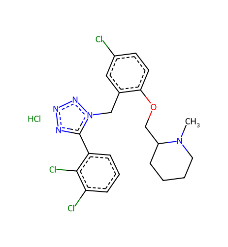 CN1CCCCC1COc1ccc(Cl)cc1Cn1nnnc1-c1cccc(Cl)c1Cl.Cl